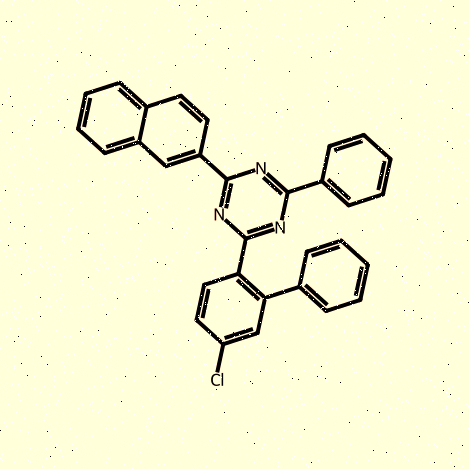 Clc1ccc(-c2nc(-c3ccccc3)nc(-c3ccc4ccccc4c3)n2)c(-c2ccccc2)c1